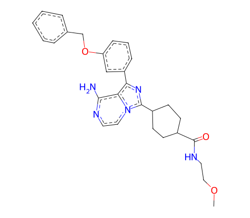 COCCNC(=O)C1CCC(c2nc(-c3cccc(OCc4ccccc4)c3)c3c(N)nccn23)CC1